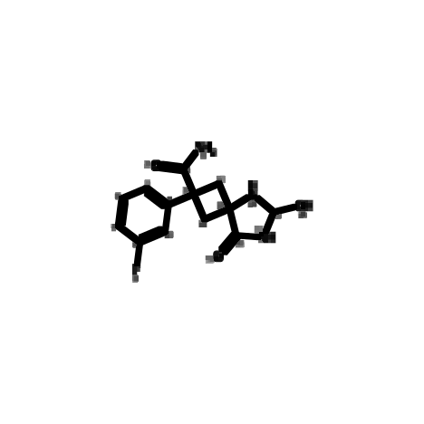 NC(=O)C1(c2cccc(F)c2)CC2(C1)NC(O)NC2=O